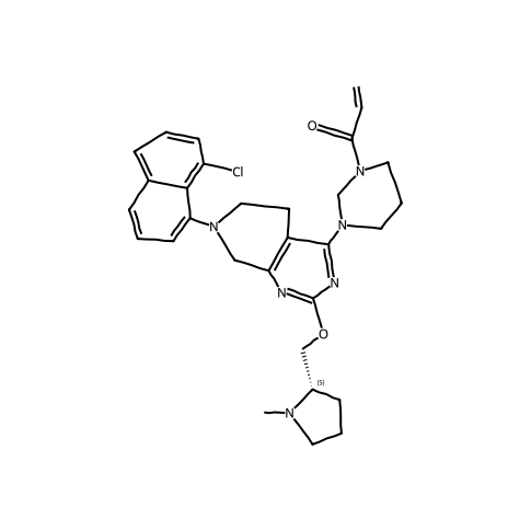 C=CC(=O)N1CCCN(c2nc(OC[C@@H]3CCCN3C)nc3c2CCN(c2cccc4cccc(Cl)c24)C3)C1